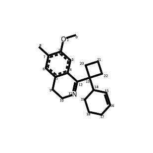 COc1cc2c(cc1C)CCN=C2C1(C2C=CCCC2)CCC1